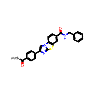 CNC(=O)c1ccc(-c2cn3c(n2)sc2cc(C(=O)NCc4ccccc4)ccc23)cc1